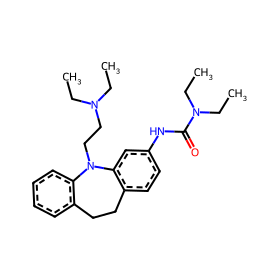 CCN(CC)CCN1c2ccccc2CCc2ccc(NC(=O)N(CC)CC)cc21